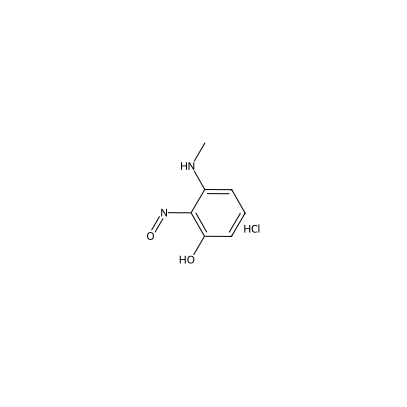 CNc1cccc(O)c1N=O.Cl